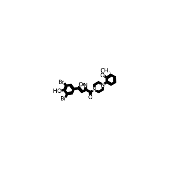 COc1ccccc1N1CCN(C(=O)c2cc(-c3cc(Br)c(O)c(Br)c3)on2)CC1